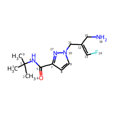 CC(C)(C)NC(=O)c1ccn(CC(=CF)CN)n1